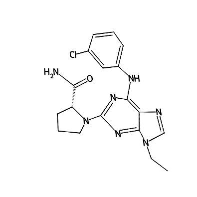 CCn1cnc2c(Nc3cccc(Cl)c3)nc(N3CCC[C@@H]3C(N)=O)nc21